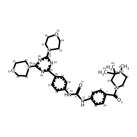 CN1CCN(C(=O)c2ccc(NC(=O)Nc3ccc(-c4nc(N5CCOCC5)nc(N5CCOCC5)n4)cc3)cc2)CC1(C)C